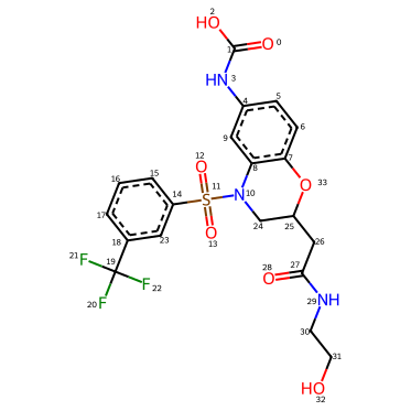 O=C(O)Nc1ccc2c(c1)N(S(=O)(=O)c1cccc(C(F)(F)F)c1)CC(CC(=O)NCCO)O2